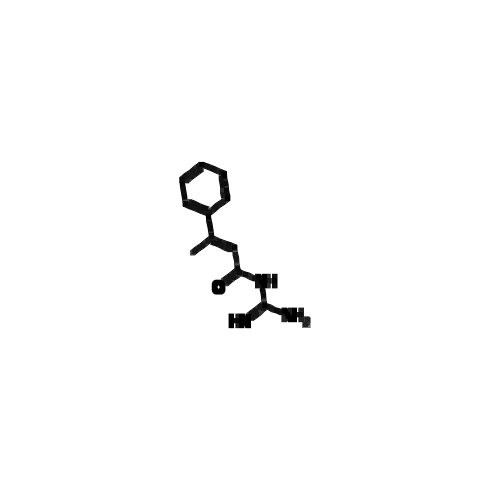 CC(=CC(=O)NC(=N)N)c1ccccc1